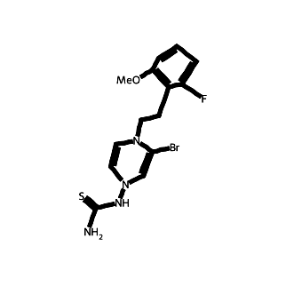 COc1cccc(F)c1CCN1C=CN(NC(N)=S)C=C1Br